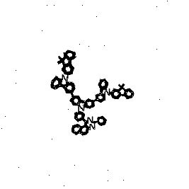 CC1(C)c2ccccc2-c2ccc(-n3c4ccccc4c4cc(-c5ccc6c(c5)c5cc(-c7ccc8c(c7)c7ccccc7n8-c7ccc8c(c7)C(C)(C)c7ccccc7-8)ccc5n6-c5cccc(-c6nc(-c7ccccc7)nc7ccc8ccccc8c67)c5)ccc43)cc21